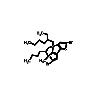 CCCCC(CC)CS1(CC(CC)CCCC)c2cc(Br)sc2-c2cc(Br)sc21